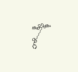 CC(C)(C)OC(=O)C(CCCCCCCC(=O)OCc1ccccc1)C(=O)OC(C)(C)C